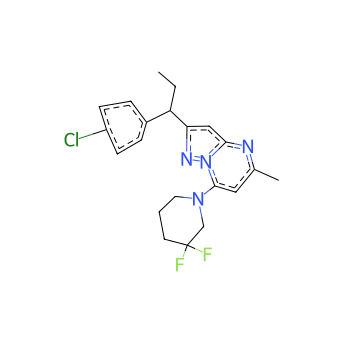 CCC(c1ccc(Cl)cc1)c1cc2nc(C)cc(N3CCCC(F)(F)C3)n2n1